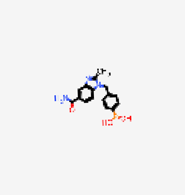 Cc1nc2cc(C(N)=O)ccc2n1Cc1ccc(P(O)O)cc1